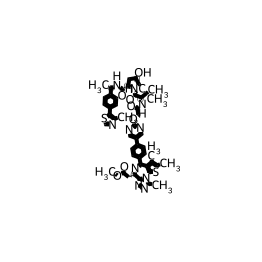 COC(=O)C[C@@H]1N=C(c2ccc(-c3cnc(OCC(=O)N[C@H](C(=O)N4C[C@H](O)C[C@H]4C(=O)N[C@@H](C)c4ccc(-c5scnc5C)cc4)C(C)(C)C)nc3)cc2)c2c(sc(C)c2C)-n2c(C)nnc21